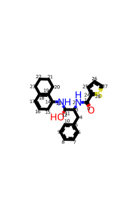 O=C(NC(Cc1ccccc1)C(O)NC1CC=CC2=C1CCCC2)c1cccs1